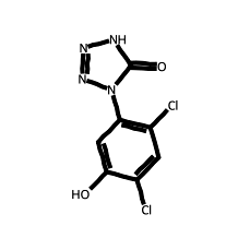 O=c1[nH]nnn1-c1cc(O)c(Cl)cc1Cl